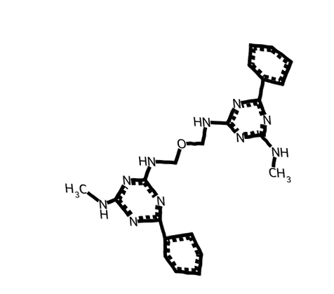 CNc1nc(NCOCNc2nc(NC)nc(-c3ccccc3)n2)nc(-c2ccccc2)n1